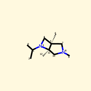 CC(C)N1C[C@@]2(C)CN(C)C[C@@]12C